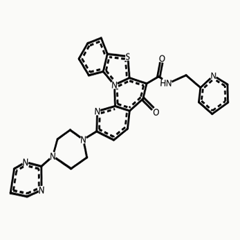 O=C(NCc1ccccn1)c1c(=O)c2ccc(N3CCN(c4ncccn4)CC3)nc2n2c1sc1ccccc12